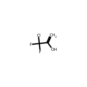 C=C(O)C(F)(F)Cl